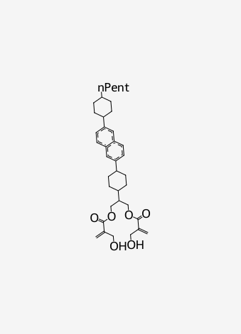 C=C(CO)C(=O)OCC(COC(=O)C(=C)CO)C1CCC(c2ccc3cc(C4CCC(CCCCC)CC4)ccc3c2)CC1